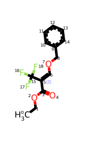 CCOC(=O)/C(=C/OCc1ccccc1)C(F)(F)F